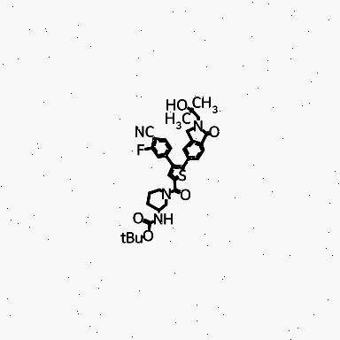 CC(C)(O)CN1Cc2cc(-c3sc(C(=O)N4CCC[C@@H](NC(=O)OC(C)(C)C)C4)cc3-c3ccc(C#N)c(F)c3)ccc2C1=O